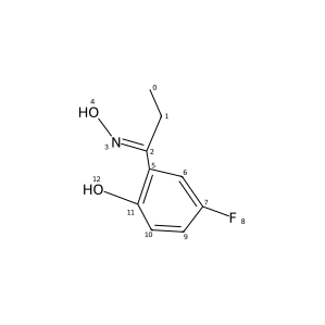 CCC(=NO)c1cc(F)ccc1O